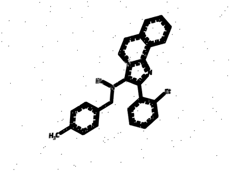 CCc1ccccc1-c1nc2c3ccccc3ccn2c1N(CC)Cc1ccc(C)cc1